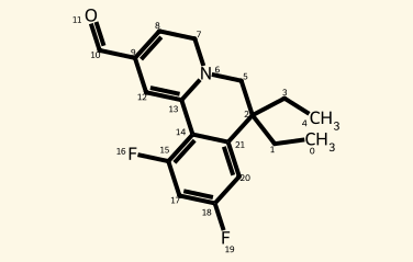 CCC1(CC)CN2CC=C(C=O)C=C2c2c(F)cc(F)cc21